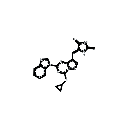 C=c1[nH]c(=O)/c(=C/c2cnn3c(NC4CC4)nc(-n4cnc5ccccc54)nc23)[nH]1